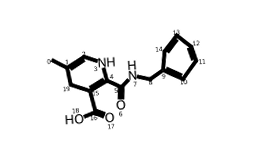 CC1=CNC(C(=O)NCc2ccccc2)=C(C(=O)O)C1